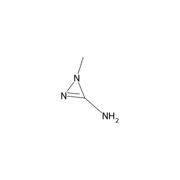 CN1N=C1N